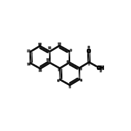 O=C(O)c1cccc2c1ccc1ccccc12